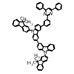 CC1(C)c2ccccc2-c2ccc(-n3c4ccccc4c4cc(-c5ccc6c(c5)c5cc(-c7cccc(-c8nc(-c9ccccc9)cc(-c9ccccc9)n8)c7)ccc5n6-c5ccc6c(c5)C(C)(C)c5ccccc5-6)ccc43)cc21